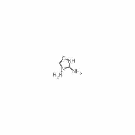 NC1NOCN1N